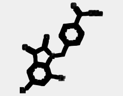 COC(=O)c1ccc(CN2C(=O)C(=O)c3cc(Br)cc(Br)c32)cc1